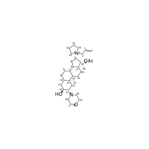 C=CC[N+]1([C@H]2CC3C4CCC5C[C@H](O)[C@@H](N6CCOCC6)C[C@]5(C)C4CC[C@]3(C)[C@H]2OC(C)=O)CCCC1